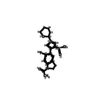 CC(=O)N1CCc2cc(-c3cn(C4CCCCO4)nc3[N+](=O)[O-])c(F)cc21